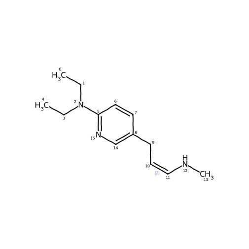 CCN(CC)c1ccc(C/C=C\NC)cn1